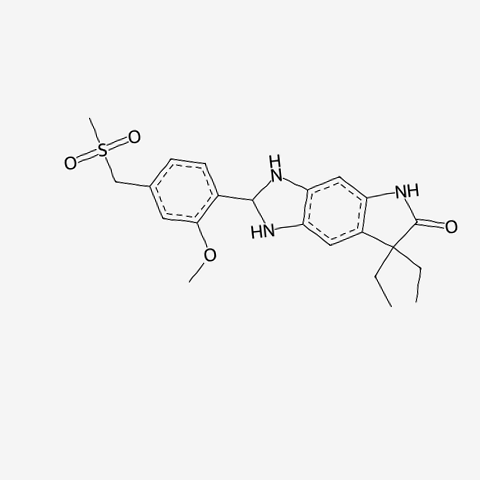 CCC1(CC)C(=O)Nc2cc3c(cc21)NC(c1ccc(CS(C)(=O)=O)cc1OC)N3